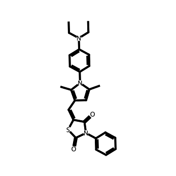 CCN(CC)c1ccc(-n2c(C)cc(/C=C3/SC(=O)N(c4ccccc4)C3=O)c2C)cc1